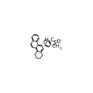 C[S+](C)[O-].c1ccc2c(c1)ccc1c3c(ccc12)CCCC3.c1ccoc1